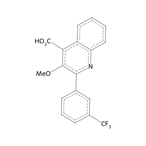 COc1c(-c2cccc(C(F)(F)F)c2)nc2ccccc2c1C(=O)O